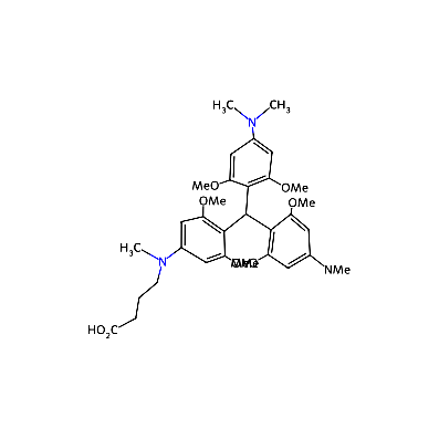 CNc1cc(OC)c(C(c2c(OC)cc(N(C)C)cc2OC)c2c(OC)cc(N(C)CCCC(=O)O)cc2OC)c(OC)c1